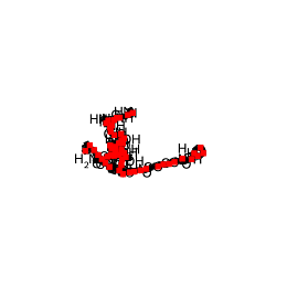 CCc1cc(OCCCCNC(=O)OCCOCCOCCOCCNC(=O)OC[C@@H]2[C@@H]3CCC#CCC[C@@H]32)ccc1-c1ccc(C[C@H](NC(=O)[C@H](CC(=O)O)NC(=O)[C@H](CO)NC(=O)[C@@H](NC(=O)[C@](C)(Cc2ccccc2F)NC(=O)[C@@H](NC(=O)CNC(=O)[C@H](Cc2nn[nH]n2)NC(=O)C(C)(C)C(=O)NCCc2cnc[nH]2)[C@@H](C)O)[C@@H](C)O)C(=O)N[C@@H](CCCc2cc(C)cc(C)c2)C(N)=O)cc1